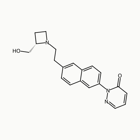 O=c1cccnn1-c1ccc2cc(CCN3CC[C@H]3CO)ccc2c1